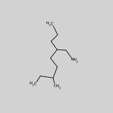 CCCC(CN)CCC(C)CC